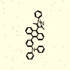 Cc1nn(-c2ccccc2)c(C)c1-c1c2ccccc2c(-c2cccc(N(c3ccccc3)c3ccccc3)c2)c2ccccc12